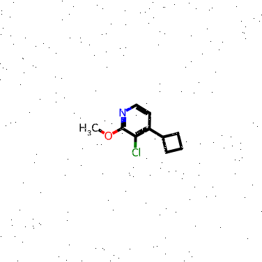 COc1nccc(C2CCC2)c1Cl